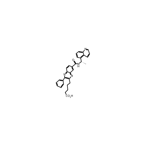 C[C@H](NC(=O)c1ccc2nc(-c3ccccc3)c(CCCCC(=O)O)nc2c1)c1cccc2ncccc12